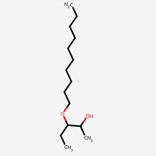 CCCCCCCCCCOC(CC)C(C)O